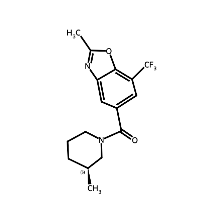 Cc1nc2cc(C(=O)N3CCC[C@H](C)C3)cc(C(F)(F)F)c2o1